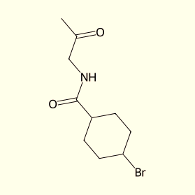 CC(=O)CNC(=O)C1CCC(Br)CC1